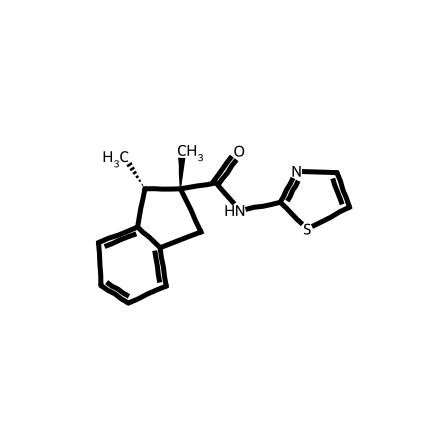 C[C@H]1c2ccccc2C[C@@]1(C)C(=O)Nc1nccs1